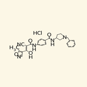 Cc1oncc1C(O)=C(C#N)C(=O)Nc1ccc(C(=O)NC2CCN(Cc3ccccc3)C2)cc1.Cl